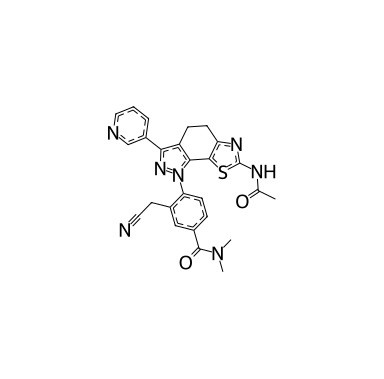 CC(=O)Nc1nc2c(s1)-c1c(c(-c3cccnc3)nn1-c1ccc(C(=O)N(C)C)cc1CC#N)CC2